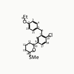 CCOc1ccc(Cc2cc([C@@H]3[CH][CH][CH][C@@H](SC)O3)ccc2Cl)cc1